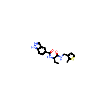 CCC(NC(=O)c1ccc2[nH]ncc2c1)C(=O)NCc1ccsc1C